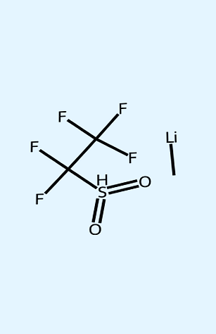 O=[SH](=O)C(F)(F)C(F)(F)F.[Li][CH3]